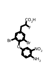 Nc1ccc(Oc2c(Br)cc(CC(F)C(=O)O)cc2Br)cc1[N+](=O)[O-]